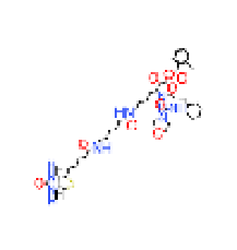 Cc1cccc(C)c1C(=O)OCC(=O)[C@H](CCCCNC(=O)CCCCCNC(=O)CCCCC1SC[C@@H]2NC(=O)N[C@H]12)NC(=O)[C@H](CC1CCCCC1)NC(=O)N1CCOCC1